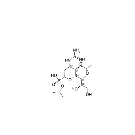 CC(=O)N[C@H]1[C@H]([C@H](C)[C@H](O)CO)OC(P(=O)(O)OC(C)C)C[C@@H]1NC(=N)N